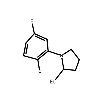 CCC1CCCN1c1cc(F)ccc1F